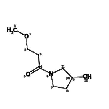 COCCC(=O)N1CC[C@@H](O)C1